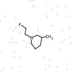 CC1CCCN(CCF)C1